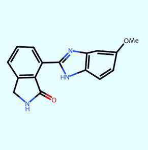 COc1ccc2[nH]c(-c3cccc4c3C(=O)NC4)nc2c1